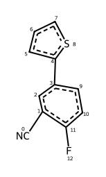 N#Cc1cc(-c2cccs2)ccc1F